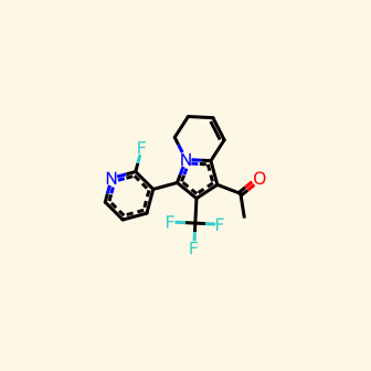 CC(=O)c1c(C(F)(F)F)c(-c2cccnc2F)n2c1C=CCC2